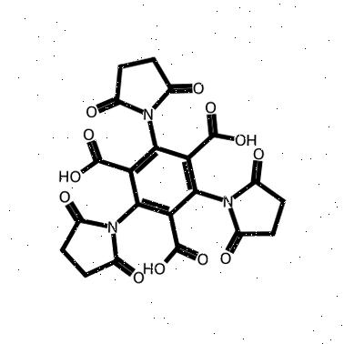 O=C(O)c1c(N2C(=O)CCC2=O)c(C(=O)O)c(N2C(=O)CCC2=O)c(C(=O)O)c1N1C(=O)CCC1=O